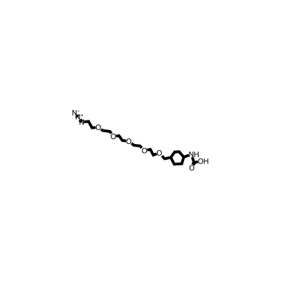 [N-]=[N+]=NCCOCCOCCOCCOCCOCC1CCC(NC(=O)O)CC1